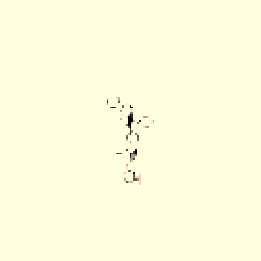 O=C(O)c1ccc2c(c1)nc(-c1ccc(C(=O)NCCc3cccnc3)cc1)n2C1CCCCC1